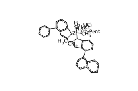 CC1=Cc2c(-c3ccccc3)cccc2[CH]1[Zr]([CH3])([SiH3])[CH]1C(C)=Cc2c(-c3cccc4ccccc34)cccc21.CCCCCC.Cl.Cl